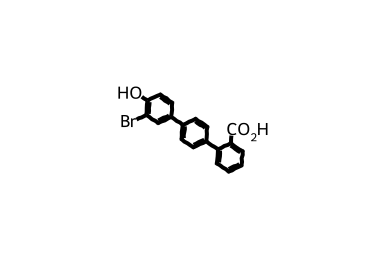 O=C(O)c1ccccc1-c1ccc(-c2ccc(O)c(Br)c2)cc1